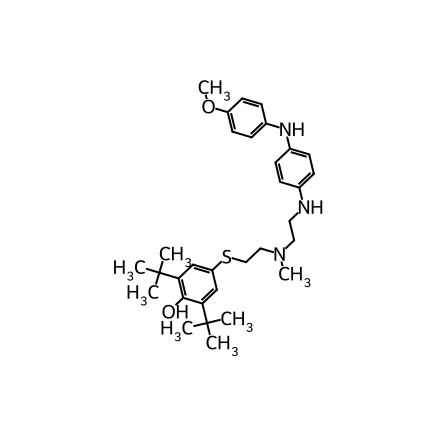 COc1ccc(Nc2ccc(NCCN(C)CCSc3cc(C(C)(C)C)c(O)c(C(C)(C)C)c3)cc2)cc1